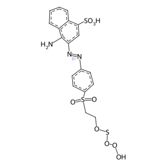 Nc1c(/N=N/c2ccc(S(=O)(=O)CCOSOOO)cc2)cc(S(=O)(=O)O)c2ccccc12